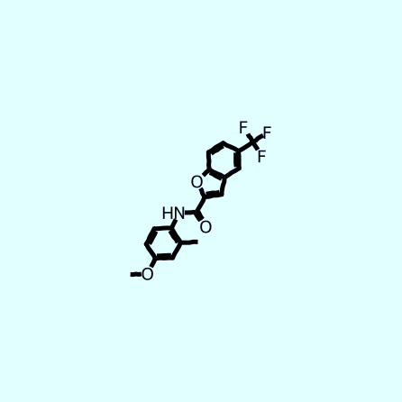 COc1ccc(NC(=O)c2cc3cc(C(F)(F)F)ccc3o2)c(C)c1